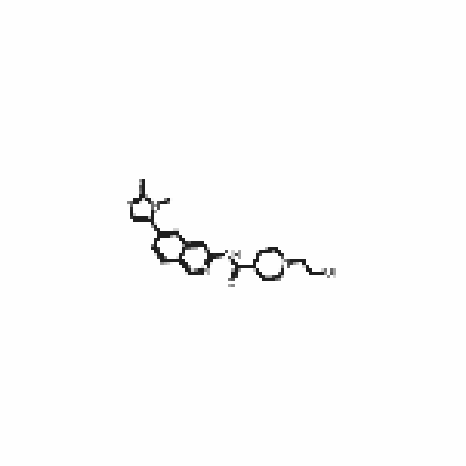 Cc1ncc(-c2ccc3cnc(NC(=O)C4CCN(CCO)CC4)cc3c2)n1C